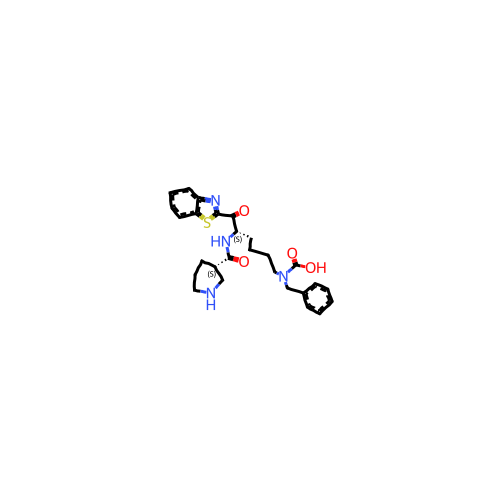 O=C(N[C@@H](CCCCN(Cc1ccccc1)C(=O)O)C(=O)c1nc2ccccc2s1)[C@H]1CCCNC1